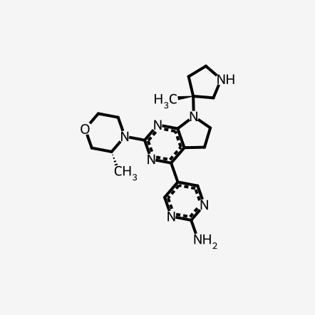 C[C@@H]1COCCN1c1nc(-c2cnc(N)nc2)c2c(n1)N([C@]1(C)CCNC1)CC2